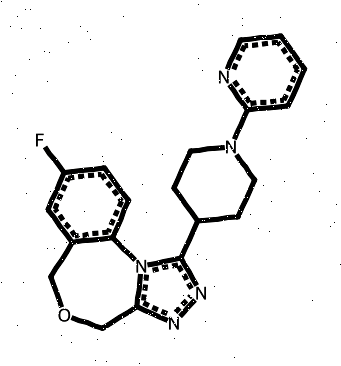 Fc1ccc2c(c1)COCc1nnc(C3CCN(c4ccccn4)CC3)n1-2